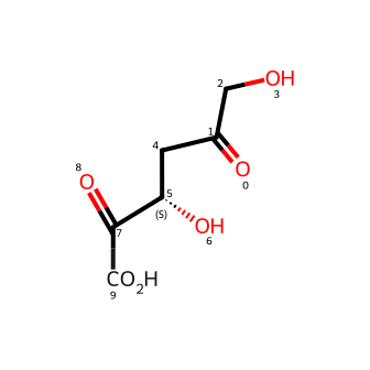 O=C(CO)C[C@H](O)C(=O)C(=O)O